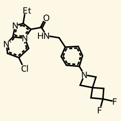 CCc1nc2ncc(Cl)cn2c1C(=O)NCc1ccc(N2CC3(C2)CC(F)(F)C3)cc1